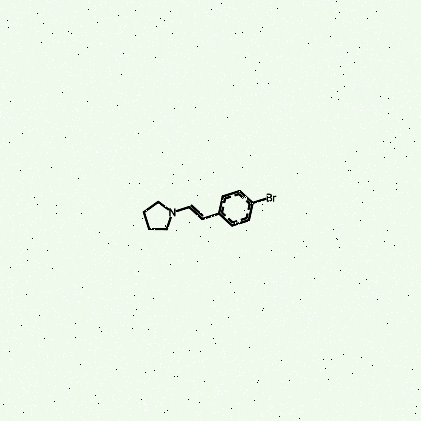 Brc1ccc(/C=C/N2CCCC2)cc1